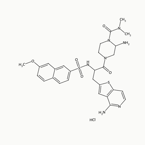 COc1ccc2ccc(S(=O)(=O)NC(Cc3cc4c(N)nccc4s3)C(=O)N3CCN(C(=O)N(C)C)C(N)C3)cc2c1.Cl